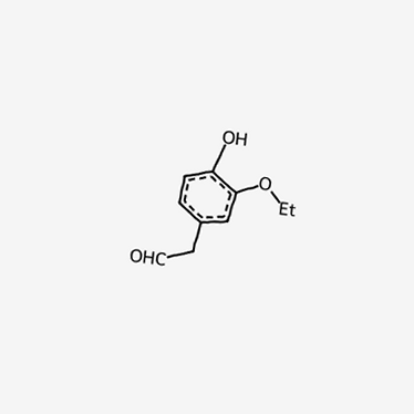 CCOc1cc(CC=O)ccc1O